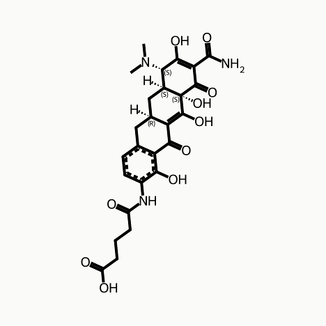 CN(C)[C@@H]1C(O)=C(C(N)=O)C(=O)[C@@]2(O)C(O)=C3C(=O)c4c(ccc(NC(=O)CCCC(=O)O)c4O)C[C@H]3C[C@@H]12